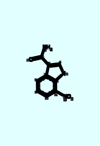 NC(=O)C1=C[N]c2c1cccc2[N+](=O)[O-]